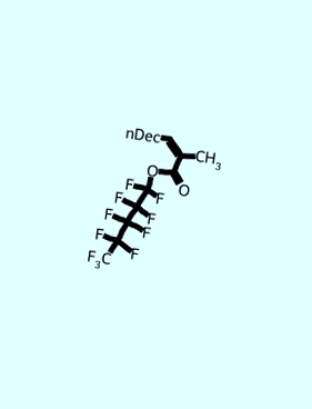 CCCCCCCCCCC=C(C)C(=O)OC(F)(F)C(F)(F)C(F)(F)C(F)(F)C(F)(F)F